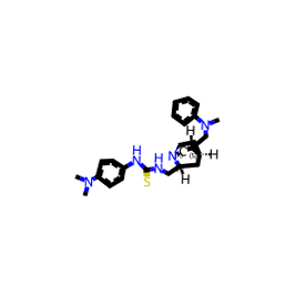 CN(C)c1ccc(NC(=S)NC[C@H]2C[C@@H]3CC[N@@]2C[C@@H]3CN(C)c2ccccc2)cc1